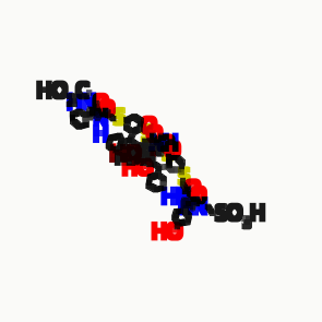 CCCCC1(CC)C(O)C(c2ccccc2)c2cc(SCC(=O)N[C@@H](C(=O)NCCS(=O)(=O)O)c3ccc(O)cc3)ccc2S(=O)(=O)C1NC1C(CC)(CCCC)C(O)C(c2ccccc2)c2cc(SCC(=O)N[C@@H](C(=O)NCC(=O)O)c3ccccc3)ccc2S1(=O)=O